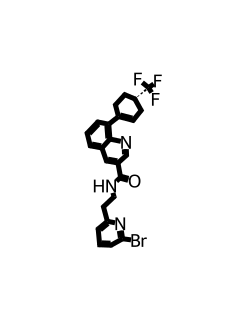 O=C(NCCc1cccc(Br)n1)c1cnc2c(C3=CC[C@@H](C(F)(F)F)CC3)cccc2c1